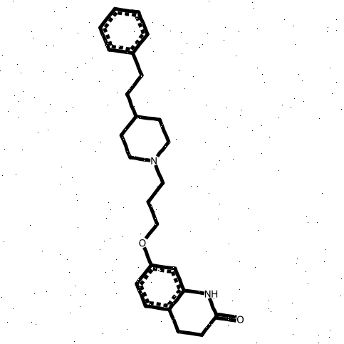 O=C1CCc2ccc(OCCCN3CCC(CCc4ccccc4)CC3)cc2N1